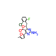 Cc1ccc(-c2nc(N)nc3c2C(=O)OC3Cc2c(F)cccc2Cl)o1